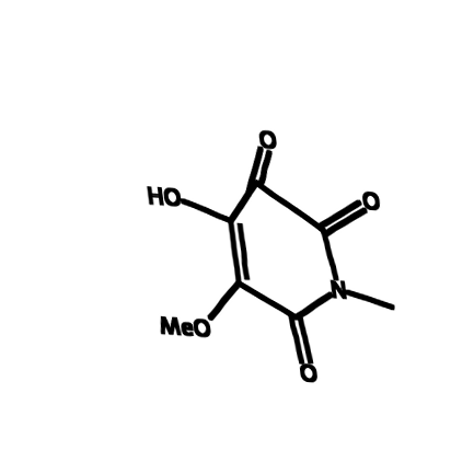 COC1=C(O)C(=O)C(=O)N(C)C1=O